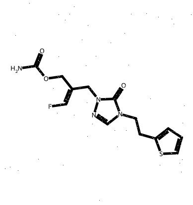 NC(=O)OCC(=CF)Cn1ncn(CCc2cccs2)c1=O